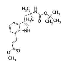 COC(=O)C=Cc1cccc2c(CC(C)(C)NC(=O)OC(C)(C)C)c[nH]c12